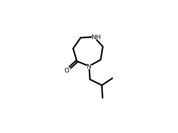 CC(C)CN1CCNCCC1=O